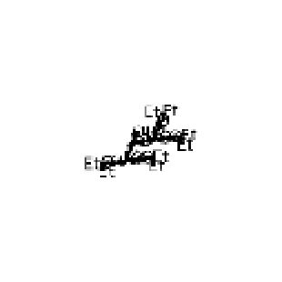 CCC(CC)OCOCC(COCOC(CC)CC)COCC(CO)COCC(COCOC(CC)CC)COCOC(CC)CC